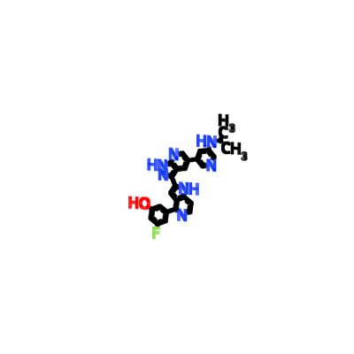 CC(C)Nc1cncc(-c2cnc3[nH]nc(-c4cc5c(-c6cc(O)cc(F)c6)nccc5[nH]4)c3c2)c1